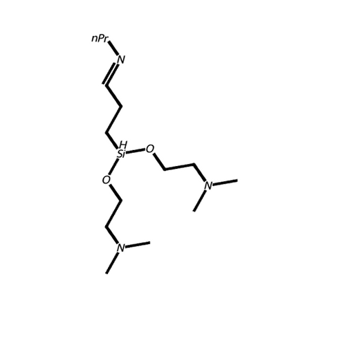 CCCN=CCC[SiH](OCCN(C)C)OCCN(C)C